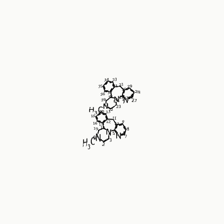 CN1CCN2c3ncccc3Cc3ccccc3C2C1.CN1CCN2c3ncccc3Cc3ccccc3C2C1